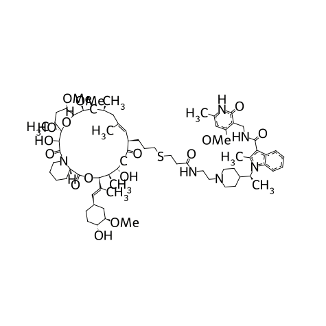 COc1cc(C)[nH]c(=O)c1CNC(=O)c1c(C)n([C@@H](C)C2CCN(CCNC(=O)CCSCCC[C@@H]3/C=C(\C)C[C@H](C)C[C@H](OC)[C@H]4O[C@@](O)(C(O)C(=O)N5CCCC[C@H]5C(=O)O[C@H](/C(C)=C/[C@@H]5CC[C@@H](O)[C@H](OC)C5)[C@H](C)[C@@H](O)CC3=O)[C@H](C)C[C@@H]4OC)CC2)c2ccccc12